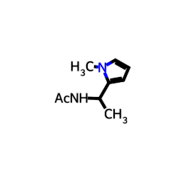 CC(=O)NC(C)c1cccn1C